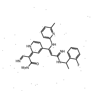 CNC(=O)/C(C=N)=C1C=C(/C(=C/C(=N)NC(C)c2ccccc2F)Nc2cccc(C)n2)C=CN\1